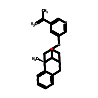 C=C(C)c1cncc(OCC2C3CCC[C@]2(C)c2ccccc2C3)c1